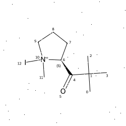 CC(C)(C)C(=O)[C@@H]1CCC[N+]1(C)I